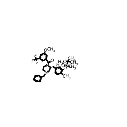 COc1cc(C(=O)N2CCN(Cc3ccccc3)C[C@H]2Cc2ccc(C)c(O[Si](C)(C)C(C)(C)C)c2)cc(C(F)(F)F)c1